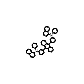 c1ccc(N(c2cccc(-c3c4ccccc4c(-c4cccc(N(c5ccccc5)c5cccc6ccccc56)c4)c4ccccc34)c2)c2cccc3ccccc23)cc1